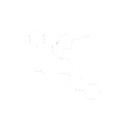 COc1cccc(C2(OC(=O)c3ccccc3)CCN(S(=O)(=O)Cc3ccccc3)C[C@@H]2CN(C)C)c1